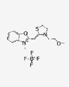 COCCN1CCS/C1=C\c1oc2ccccc2[n+]1C.F[B-](F)(F)F